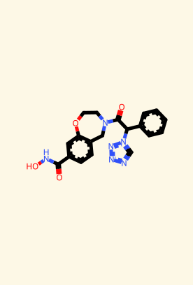 O=C(NO)c1ccc2c(c1)OCCN(C(=O)C(c1ccccc1)n1cnnn1)C2